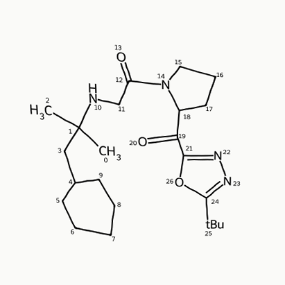 CC(C)(CC1CCCCC1)NCC(=O)N1CCCC1C(=O)c1nnc(C(C)(C)C)o1